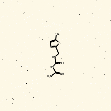 Cc1ccc(CNC(=N)NC(=N)N)o1